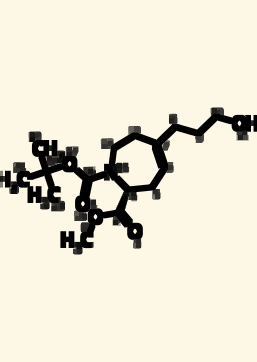 COC(=O)[C@@H]1CC=C(CCCO)CCN1C(=O)OC(C)(C)C